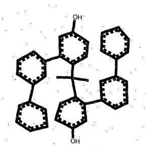 CC(C)(c1ccc(O)cc1-c1cccc(-c2ccccc2)c1)c1ccc(O)cc1-c1cccc(-c2ccccc2)c1